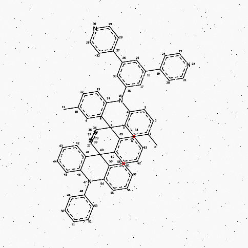 Cc1ccc2c(c1)C1(c3cc(C)ccc3N2c2cc(-c3ccncc3)cc(-c3ccncc3)c2)c2ccccc2C2(c3ccccc3N(c3ccccc3)c3ccccc32)c2ccccc21